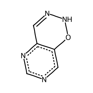 C1=NNOc2cncnc21